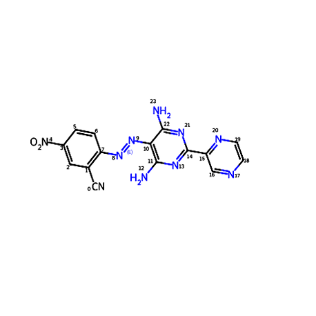 N#Cc1cc([N+](=O)[O-])ccc1/N=N/c1c(N)nc(-c2cnccn2)nc1N